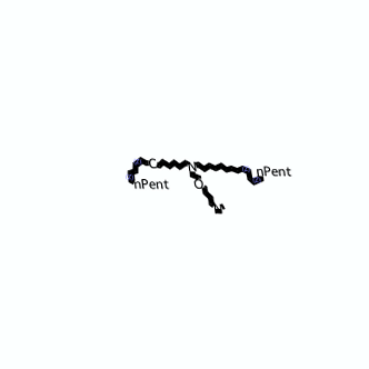 CCCCC/C=C\C/C=C\CCCCCCCCN(CCCCCCCC/C=C\C/C=C\CCCCC)CCOCCCCN(C)C